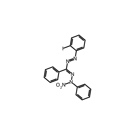 O=[N+]([O-])N(N=C(N=Nc1ccccc1I)c1ccccc1)c1ccccc1